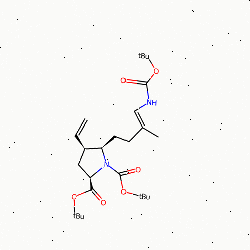 C=C[C@@H]1C[C@H](C(=O)OC(C)(C)C)N(C(=O)OC(C)(C)C)[C@@H]1CCC(C)=CNC(=O)OC(C)(C)C